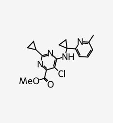 COC(=O)c1nc(C2CC2)nc(NC2(c3cccc(C)n3)CC2)c1Cl